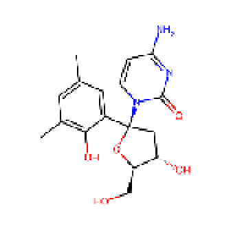 Cc1cc(C)c(O)c([C@]2(n3ccc(N)nc3=O)C[C@H](O)[C@@H](CO)O2)c1